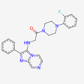 O=C(CNc1c(-c2ccccc2)nc2cnccn12)N1CCN(c2ccccc2F)CC1